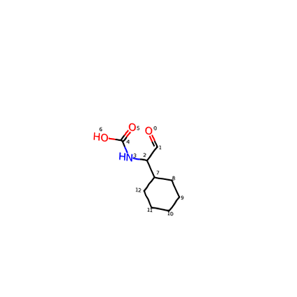 O=CC(NC(=O)O)C1CCCCC1